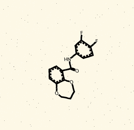 O=C(Nc1ccc(F)c(F)c1)c1cccc2c1OCCCO2